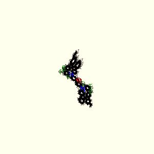 C=CC1=CCC(C2(c3ccc(F)cc3)C3=C(CCCC3)c3ccc(N(C4=CC5OC6CC(N(C7=CC8=C(CC7)C7=C(CCC=C7)C8(C7=CCC(C=C)C=C7)c7ccc(F)cc7)c7cc(F)c(F)cc7F)C=CC6C5C=C4)C4=CC(F)C(F)CC4F)cc32)CC1